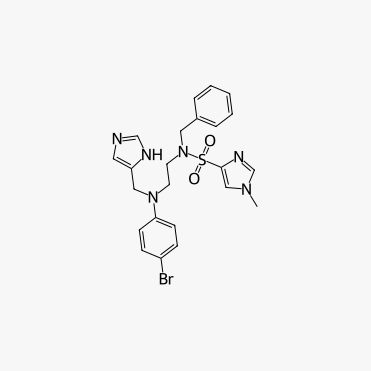 Cn1cnc(S(=O)(=O)N(CCN(Cc2cnc[nH]2)c2ccc(Br)cc2)Cc2ccccc2)c1